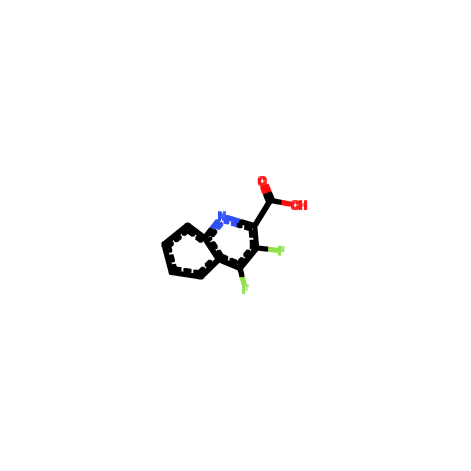 O=C(O)c1nc2ccccc2c(F)c1F